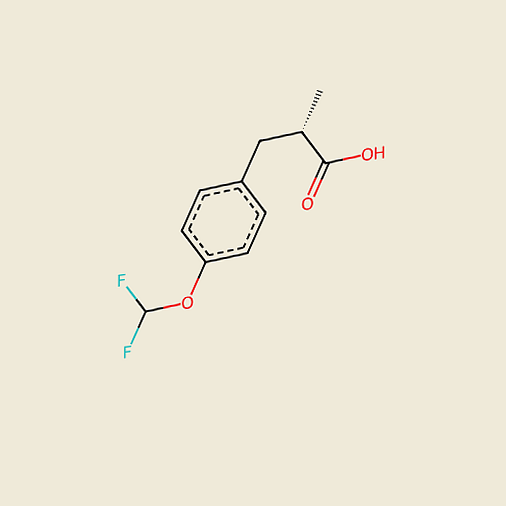 C[C@@H](Cc1ccc(OC(F)F)cc1)C(=O)O